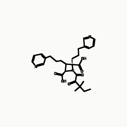 CCC(C)(C)C(=O)C(=O)N1[C@@H](C(=O)O)C(CCCc2cccnc2)[C@@]1(CCCc1cccnc1)C(=O)O